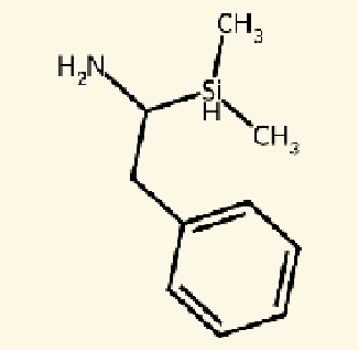 C[SiH](C)C(N)Cc1ccccc1